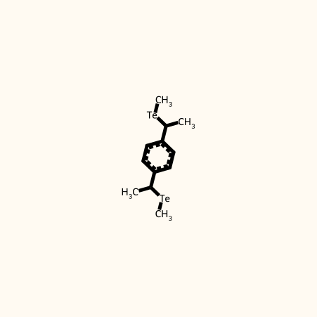 C[Te]C(C)c1ccc(C(C)[Te]C)cc1